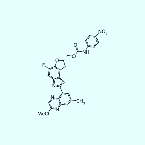 COc1cnc2c(-c3nc4cc(F)c5c(c4s3)C[C@@H](COC(=O)Nc3ccc([N+](=O)[O-])cc3)O5)cc(C)cc2n1